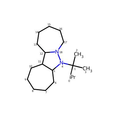 CC(C)C(C)(C)N1C2CCCCCC2C2CCCCCN21